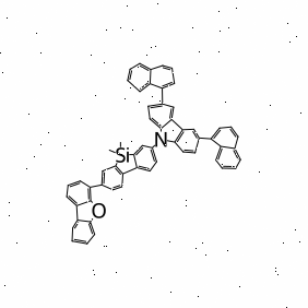 C[Si]1(C)c2cc(-c3cccc4c3oc3ccccc34)ccc2-c2ccc(-n3c4ccc(-c5cccc6ccccc56)cc4c4cc(-c5cccc6ccccc56)ccc43)cc21